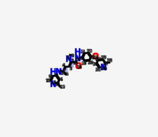 C=N/C(=C\C=C(/C)Nc1ccnc(C)c1)C(=O)Nc1ccc(Oc2ccnc(C)c2)cc1